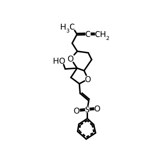 C=C=C(C)CC1CCC2OC(/C=C/S(=O)(=O)c3ccccc3)CC2(CO)O1